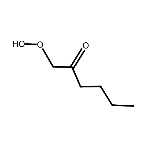 CCCCC(=O)COO